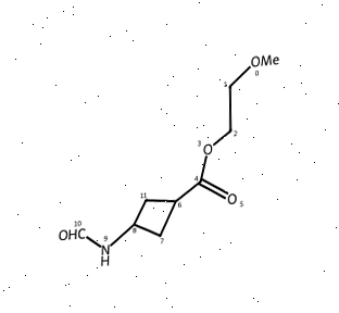 COCCOC(=O)C1CC(NC=O)C1